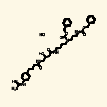 Cl.N=C(N)Nc1ccc(CCCC(=O)NCC(O)CC(=O)NCCCCN(CCCNC(=O)OCc2ccccc2)C(=O)OCc2ccccc2)cc1